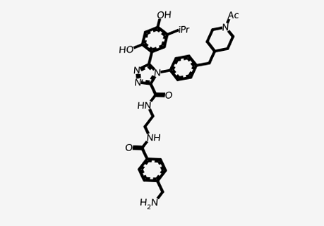 CC(=O)N1CCC(Cc2ccc(-n3c(C(=O)NCCNC(=O)c4ccc(CN)cc4)nnc3-c3cc(C(C)C)c(O)cc3O)cc2)CC1